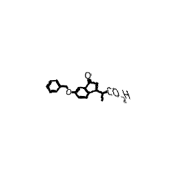 CC(C(=O)O)C1CC(=O)c2cc(OCc3ccccc3)ccc21